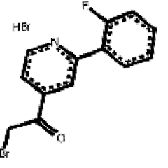 Br.O=C(CBr)c1ccnc(-c2ccccc2F)c1